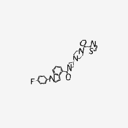 O=C(c1nccs1)N1CCN(C2CN(C(=O)c3cccc4c3ccn4-c3ccc(F)cc3)C2)CC1